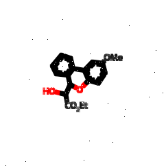 CCOC(=O)C(O)C1Oc2ccc(OC)cc2-c2ccccc21